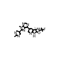 Cc1ncc(-c2nc3c(-c4cnc5c(c4)[C@@](C)(NCC(C)(C)F)C(=O)N5)ncnc3n2C)cn1